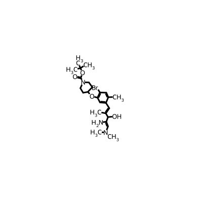 C/C(=C\c1cc(OC2CCN(C(=O)OC(C)(C)C)CC2)c(Br)cc1C)C(O)/C(N)=C/N(C)C